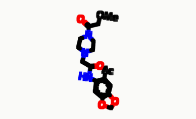 COCC(=O)N1CCN(CC(=O)Nc2cc3c(cc2C(C)=O)OCO3)CC1